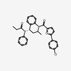 CCC(=O)N(c1ccccc1)[C@H]1CC(C)N(C(=O)c2ccc(-c3ccc(Cl)cc3)o2)c2ccccc21